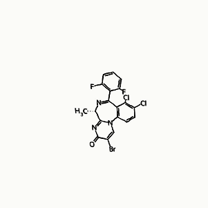 C[C@@H]1N=C(c2c(F)cccc2F)c2c(ccc(Cl)c2Cl)-n2cc(Br)c(=O)nc21